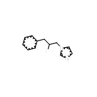 OC(Cc1ccccc1)Cn1ccnc1